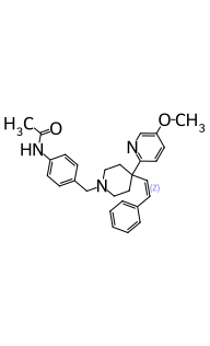 COc1ccc(C2(/C=C\c3ccccc3)CCN(Cc3ccc(NC(C)=O)cc3)CC2)nc1